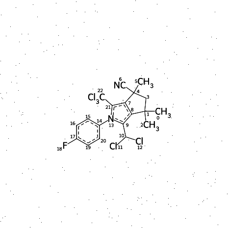 CC1(C)CC(C)(C#N)c2c1c(C(Cl)Cl)n(-c1ccc(F)cc1)c2C(Cl)(Cl)Cl